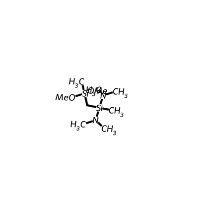 CO[Si](C)(C[Si](C)(N(C)C)N(C)C)OC